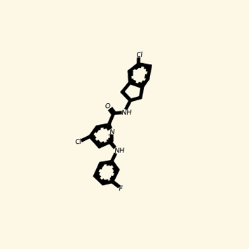 O=C(NC1Cc2ccc(Cl)cc2C1)c1cc(Cl)cc(Nc2cccc(F)c2)n1